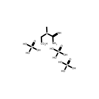 CN(CC(=O)O)C(=N)N.O=P(O)(O)O.O=P(O)(O)O.O=P(O)(O)O